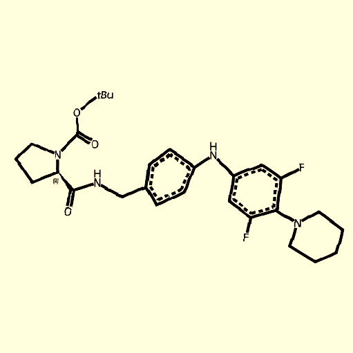 CC(C)(C)OC(=O)N1CCC[C@@H]1C(=O)NCc1ccc(Nc2cc(F)c(N3CCCCC3)c(F)c2)cc1